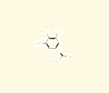 O=C(O)O.Oc1cccc(O)c1O